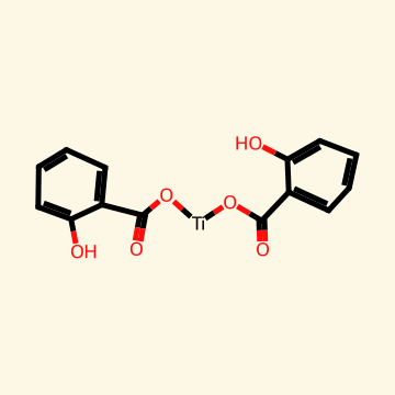 O=C([O][Ti][O]C(=O)c1ccccc1O)c1ccccc1O